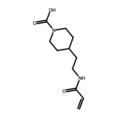 C=CC(=O)NCCC1CCN(C(=O)O)CC1